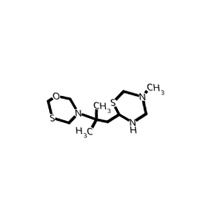 CN1CNC(CC(C)(C)N2COCSC2)SC1